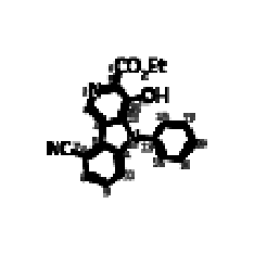 CCOC(=O)c1ncc2c3c(C#N)cccc3n(-c3ccccc3)c2c1O